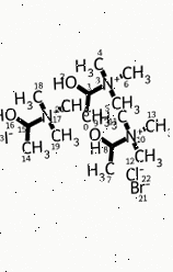 CC(O)[N+](C)(C)C.CC(O)[N+](C)(C)C.CC(O)[N+](C)(C)C.[Br-].[Cl-].[I-]